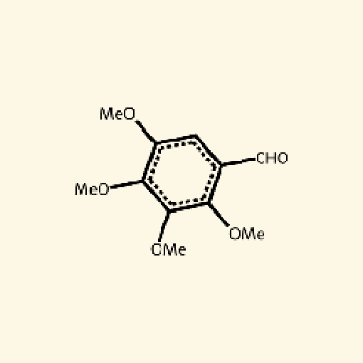 COc1cc(C=O)c(OC)c(OC)c1OC